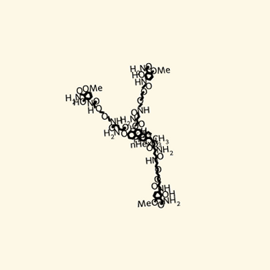 CCCCCC[C@](C)(OC(=O)[C@H](N)CC(=O)NCCOCCOCC(=O)Nc1ccc(OC)c(C(N)=O)c1O)[C@H]1CC[C@H]2[C@@H]3C[C@H](OC(=O)[C@@H](N)CC(=O)NCCOCCOCC(=O)Nc4ccc(OC)c(C(N)=O)c4O)[C@H]4C[C@@H](OC(=O)[C@@H](N)CC(=O)NCCOCCOCC(=O)Nc5ccc(OC)c(C(N)=O)c5O)CC[C@]4(C)[C@H]3CC[C@@]21C